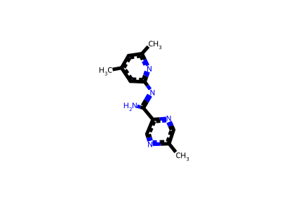 Cc1cc(C)nc(N=C(N)c2cnc(C)cn2)c1